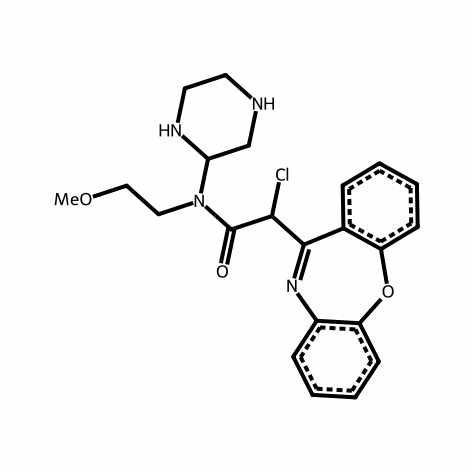 COCCN(C(=O)C(Cl)C1=Nc2ccccc2Oc2ccccc21)C1CNCCN1